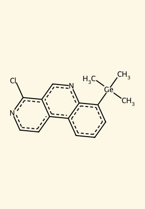 [CH3][Ge]([CH3])([CH3])[c]1cccc2c1ncc1c(Cl)nccc12